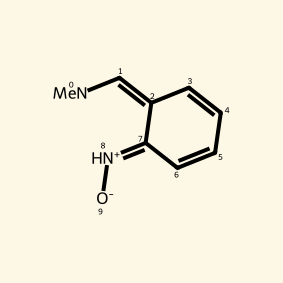 CN/C=C1/C=CC=C/C1=[NH+]\[O-]